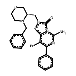 Nc1nc(-c2ccccc2)c(Br)c2nn(C[C@H]3COCCN3Cc3ccccc3)c(=O)n12